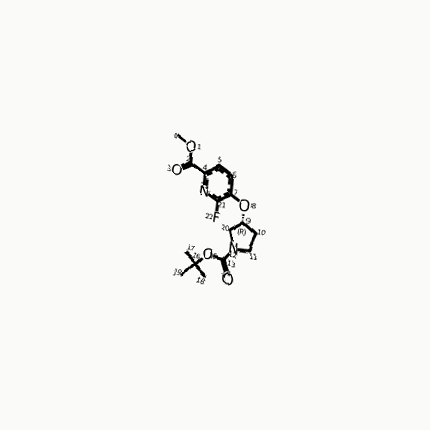 COC(=O)c1ccc(O[C@@H]2CCN(C(=O)OC(C)(C)C)C2)c(F)n1